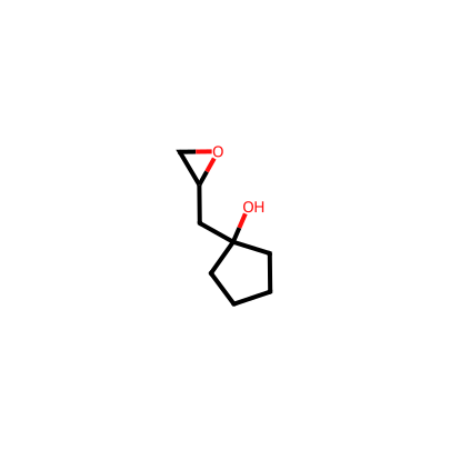 OC1(CC2CO2)CCCC1